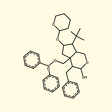 CC(C)(C)C1C(OC2CCCCO2)CC2(CO[SiH](c3ccccc3)c3ccccc3)C(Cc3ccccc3)C(O)OCC12